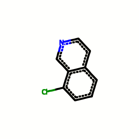 Clc1cccc2ccncc12